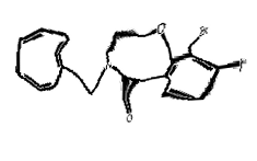 O=C1c2ccc(F)c(Br)c2OCCN1Cc1ccccc1